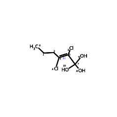 CCC/C(Cl)=C(\Cl)C(O)(O)O